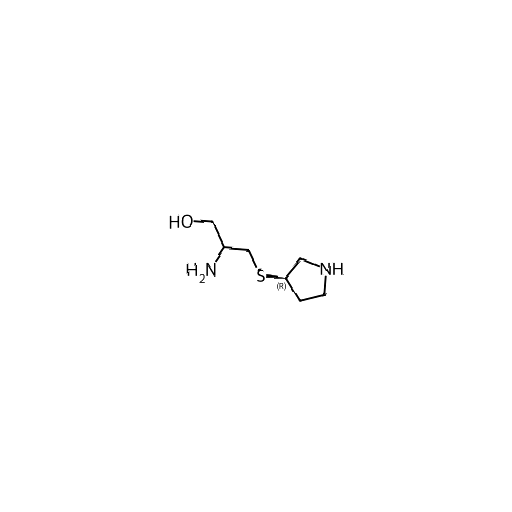 NC(CO)CS[C@@H]1CCNC1